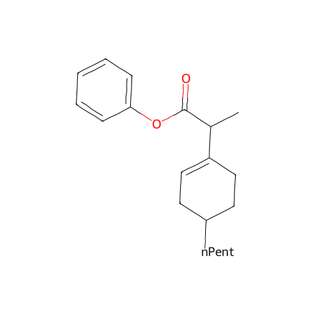 CCCCCC1CC=C(C(C)C(=O)Oc2ccccc2)CC1